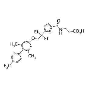 CCC(CC)(COc1cc(C)c(-c2ccc(C(F)(F)F)cc2)c(C)c1)c1ccc(C(=O)NCCC(=O)O)s1